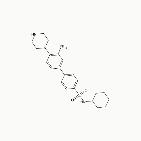 Nc1cc(-c2ccc(S(=O)(=O)NC3CCCCC3)cc2)ccc1N1CCNCC1